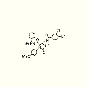 COc1ccc(-n2c(C(=O)NC(c3ccccc3)C(C)C)c3n(c2=O)CCN(C(=O)c2ccc(Br)c(Cl)c2)C3)cc1